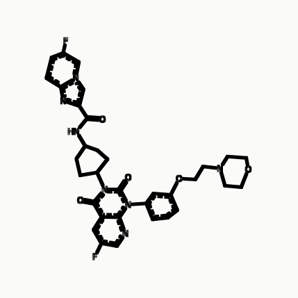 O=C(NC1CCC(n2c(=O)c3cc(F)cnc3n(-c3cccc(OCCN4CCOCC4)c3)c2=O)CC1)c1cn2cc(F)ccc2n1